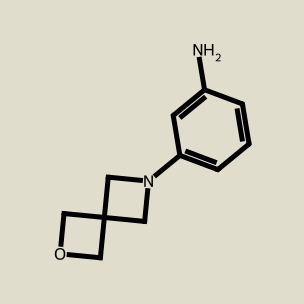 Nc1cccc(N2CC3(COC3)C2)c1